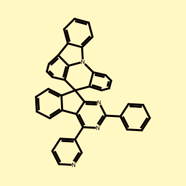 c1ccc(-c2nc(-c3cccnc3)c3c(n2)C2(c4ccccc4-3)c3ccccc3-n3c4ccccc4c4cccc2c43)cc1